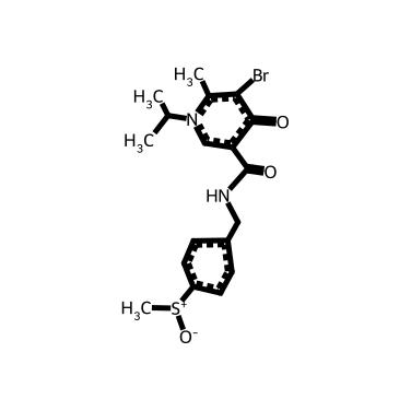 Cc1c(Br)c(=O)c(C(=O)NCc2ccc([S+](C)[O-])cc2)cn1C(C)C